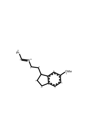 COc1ccc2c(c1)C(CCN=CC(C)C)CC2